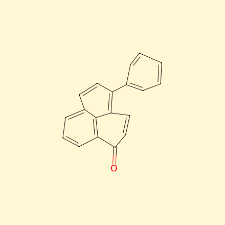 O=C1C=Cc2c(-c3ccccc3)ccc3cccc1c23